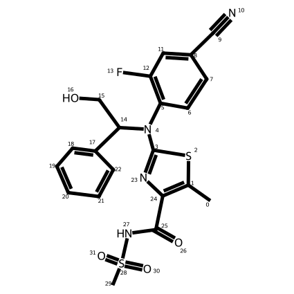 Cc1sc(N(c2ccc(C#N)cc2F)C(CO)c2ccccc2)nc1C(=O)NS(C)(=O)=O